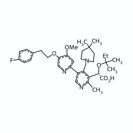 CCC(C)(C)O[C@H](C(=O)O)c1c(C)ncc(-c2cc(OC)c(OCCc3ccc(F)cc3)cn2)c1N1CCC(C)(C)CC1